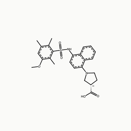 COc1cc(C)c(C)c(S(=O)(=O)Nc2ccc(N3CC[C@H](C(=O)O)C3)c3ccccc23)c1C